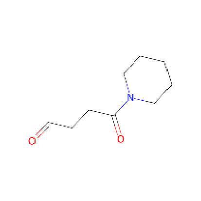 O=CCCC(=O)N1CCCCC1